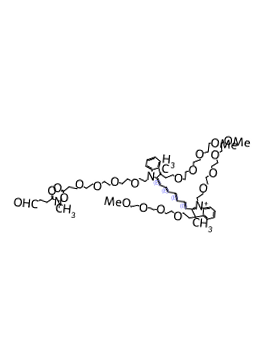 COCCOCCOCCOCC[N+]1=C(/C=C/C=C/C=C/C=C2/N(CCOCCOCCOCCOCCC(=O)ON(C)C(=O)CCC=O)c3ccccc3C2(C)CCOCCOCCOCCOC)C(C)(CCOCCOCCOCCOC)c2ccccc21